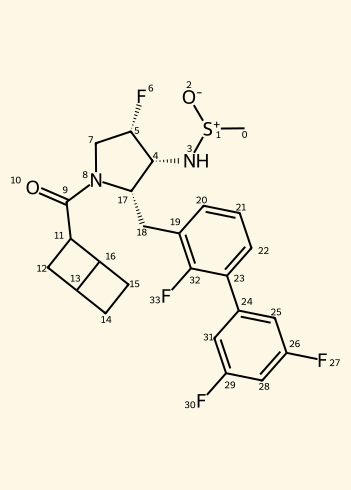 C[S+]([O-])N[C@H]1[C@@H](F)CN(C(=O)C2CC3CCC32)[C@H]1Cc1cccc(-c2cc(F)cc(F)c2)c1F